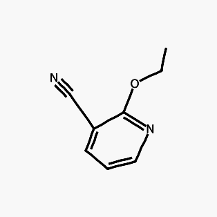 CCOc1ncccc1C#N